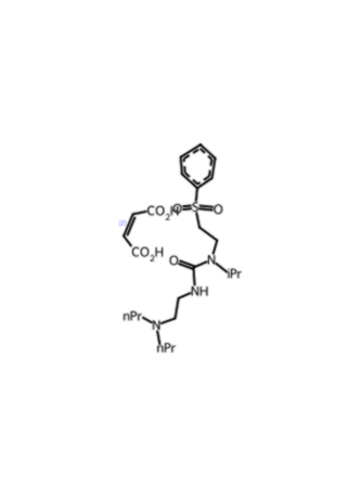 CCCN(CCC)CCNC(=O)N(CCS(=O)(=O)c1ccccc1)C(C)C.O=C(O)/C=C\C(=O)O